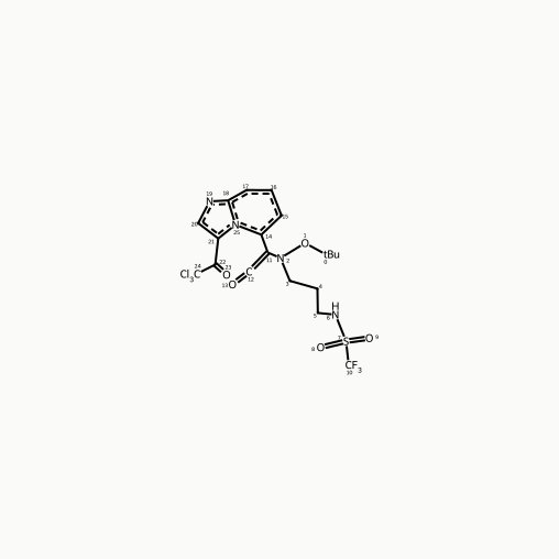 CC(C)(C)ON(CCCNS(=O)(=O)C(F)(F)F)C(=C=O)c1cccc2ncc(C(=O)C(Cl)(Cl)Cl)n12